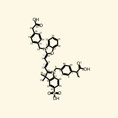 CC(C(=O)O)c1ccc(C[N+]2=C(/C=C/C=C3\Oc4ccccc4N3Cc3ccc(CC(=O)O)cc3)C(C)(C)c3cc(S(=O)(=O)O)ccc32)cc1